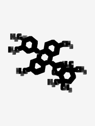 CC1=CC2=C(CC1)N(C1=CC[C@@H](C)C(C)C1)c1cc(C)ccc1B2c1cc2c(o1)C(C)(C)CCC2(C)C